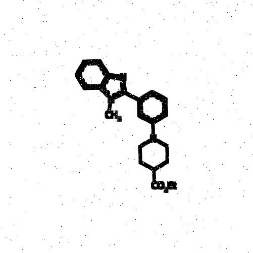 CCOC(=O)C1CCN(c2cccc(-c3nc4ccccc4n3C)c2)CC1